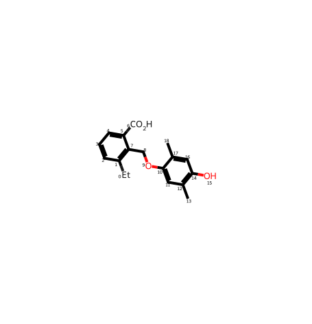 CCc1cccc(C(=O)O)c1COc1cc(C)c(O)cc1C